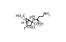 Cl.NCCC(=O)N[C@@]1(C(=O)O)C[C@@H](F)[C@H]2[C@H](C(=O)O)[C@H]21